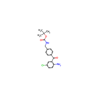 CC(C)(C)OC(=O)NCc1ccc(C(=O)c2cc(Cl)ccc2N)cc1